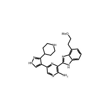 COCCc1cccc2[nH]c(-c3nc(-c4c[nH]nc4C4CCNCC4)cnc3N)nc12